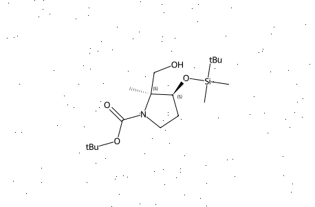 CC(C)(C)OC(=O)N1CC[C@H](O[Si](C)(C)C(C)(C)C)[C@]1(C)CO